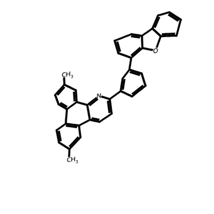 Cc1ccc2c(c1)c1ccc(-c3cccc(-c4cccc5c4oc4ccccc45)c3)nc1c1cc(C)ccc21